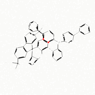 CC(C)(C)c1ccc2c(c1)C1(c3ccccc3Oc3c(-c4ccccc4N(c4ccc(-c5ccccc5)cc4)c4ccc(-c5ccccc5)cc4)cccc31)c1cc(C(C)(C)C)ccc1-2